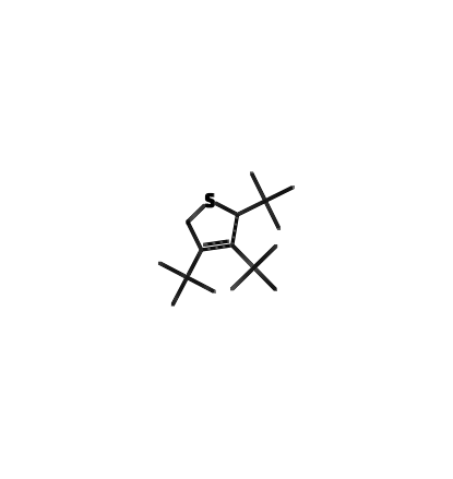 CC(C)(C)C1=C(C(C)(C)C)C(C(C)(C)C)SC1